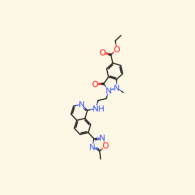 CCOC(=O)c1ccc2c(c1)c(=O)n(CCNc1nccc3ccc(-c4noc(C)n4)cc13)n2C